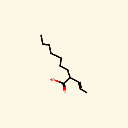 CC=CC(CCCCCCC)C(=O)O